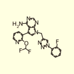 Nc1ncnc2c1c(-c1cccnc1OC(F)F)cn2Cc1cn(-c2ccccc2F)nn1